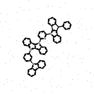 c1ccc(C2c3ccccc3-c3c2c2ccccc2n3-c2cccc(-n3c4ccccc4c4c3c3ccccc3n4-c3cccc(-n4c5ccccc5c5ccccc54)c3)n2)cc1